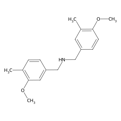 COc1ccc(CNCc2ccc(C)c(OC)c2)cc1C